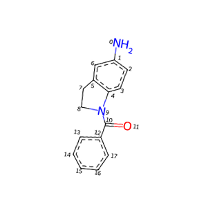 Nc1ccc2c(c1)CCN2C(=O)c1ccccc1